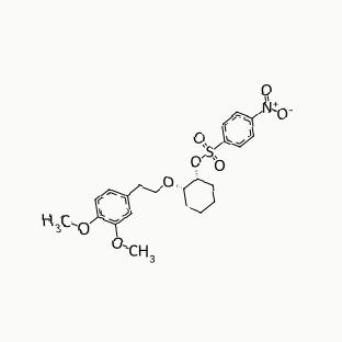 COc1ccc(CCO[C@H]2CCCC[C@H]2OS(=O)(=O)c2ccc([N+](=O)[O-])cc2)cc1OC